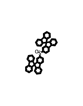 [O-][S+](c1ccc2c(c1)C1(c3ccccc3-c3ccccc31)c1ccccc1-2)c1ccc2c(c1)C1(c3ccccc3-c3ccccc31)c1ccccc1-2